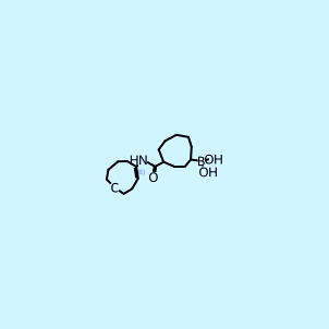 O=C(N/C1=C/CCCCCCC1)C1CCCCCC(B(O)O)CC1